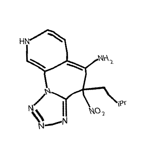 CC(C)CC1([N+](=O)[O-])C(N)=C2C=CNC=C2n2nnnc21